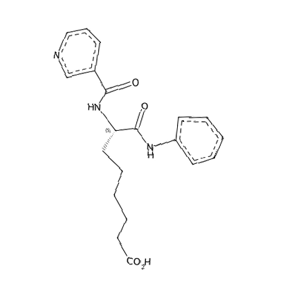 O=C(O)CCCCC[C@H](NC(=O)c1cccnc1)C(=O)Nc1ccccc1